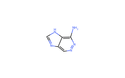 Nc1nncc2nc[nH]c12